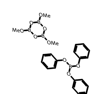 COB1OB(OC)OB(OC)O1.c1ccc(OB(Oc2ccccc2)Oc2ccccc2)cc1